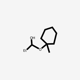 CCC(O)OC1(C)CCCCC1